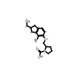 O=C(O)N1CCCC1COc1ccc2c(c1Br)CC(CO)C2